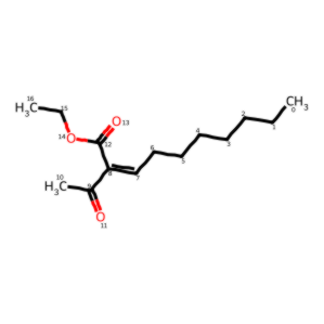 CCCCCCC/C=C(/C(C)=O)C(=O)OCC